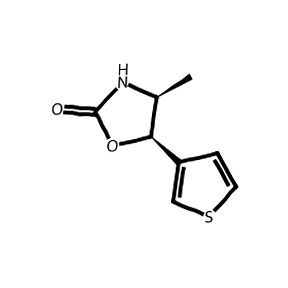 C[C@@H]1NC(=O)O[C@@H]1c1ccsc1